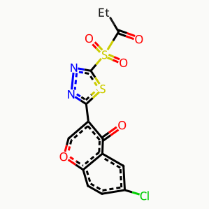 CCC(=O)S(=O)(=O)c1nnc(-c2coc3ccc(Cl)cc3c2=O)s1